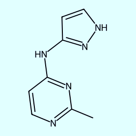 Cc1nccc(Nc2cc[nH]n2)n1